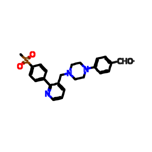 CS(=O)(=O)c1ccc(-c2ncccc2CN2CCN(c3ccc([C]=O)cc3)CC2)cc1